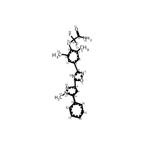 Cc1cc(-c2noc(-c3cc(-c4ccccc4)n(C)n3)n2)cc(C)c1OC(F)(F)C(N)=O